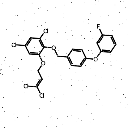 Fc1cccc(Oc2ccc(COc3c(Cl)cc(Cl)cc3OCC=C(Cl)Cl)cc2)c1